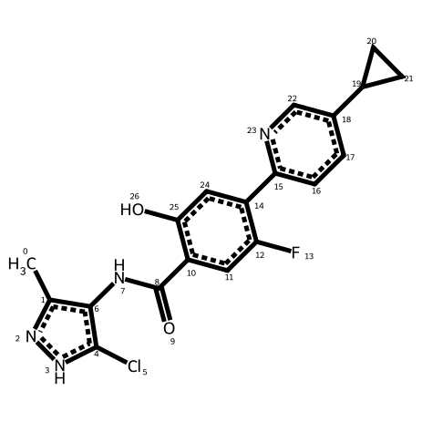 Cc1n[nH]c(Cl)c1NC(=O)c1cc(F)c(-c2ccc(C3CC3)cn2)cc1O